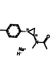 CC(=O)N(C)[C@@H]1C[C@H]1c1ccc(Cl)cc1.[H-].[Na+]